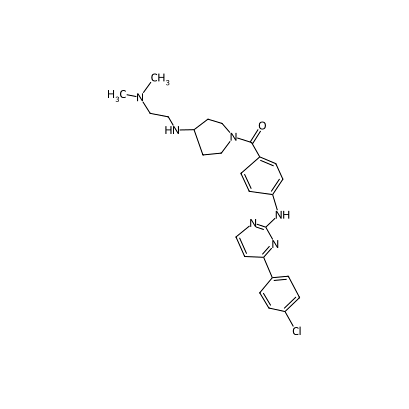 CN(C)CCNC1CCN(C(=O)c2ccc(Nc3nccc(-c4ccc(Cl)cc4)n3)cc2)CC1